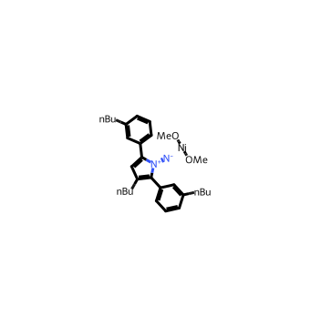 CCCCC1=C(c2cccc(CCCC)c2)[N+](=[N-])C(c2cccc(CCCC)c2)=C1.C[O][Ni][O]C